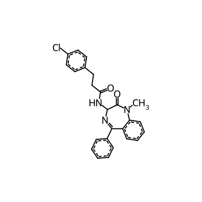 CN1C(=O)C(NC(=O)CCc2ccc(Cl)cc2)N=C(c2ccccc2)c2ccccc21